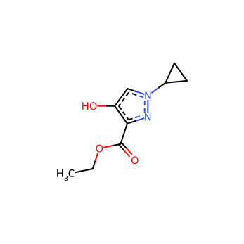 CCOC(=O)c1nn(C2CC2)cc1O